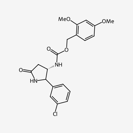 COc1ccc(COC(=O)N[C@H]2CC(=O)NC2c2cccc(Cl)c2)c(OC)c1